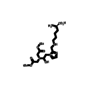 CC(C)(C)OC(=O)CN(CC(=O)OC(C)(C)C)C(O)Cn1ccnc1CNCCCC[C@H](N)C(=O)O